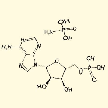 NP(=O)(O)O.Nc1ncnc2c1ncn2[C@@H]1O[C@H](COP(=O)(O)O)[C@@H](O)[C@H]1O